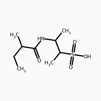 CCC(C)C(=O)NC(C)C(C)S(=O)(=O)O